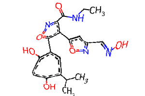 CCNC(=O)c1noc(-c2cc(C(C)C)c(O)cc2O)c1-c1cc(/C=N/O)no1